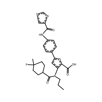 CCCN(C(=O)C1CCC(C)(F)CC1)c1cc(-c2ccc(NC(=O)c3cscn3)cc2)sc1C(=O)O